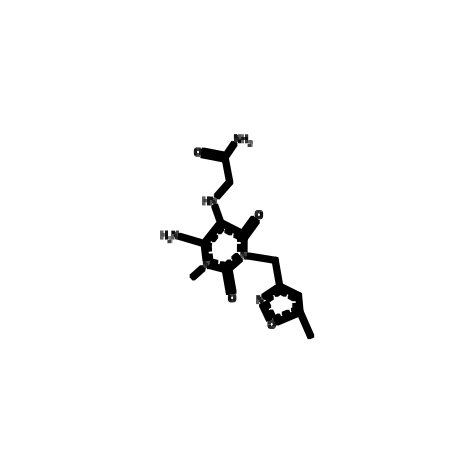 Cc1cc(Cn2c(=O)c(NCC(N)=O)c(N)n(C)c2=O)no1